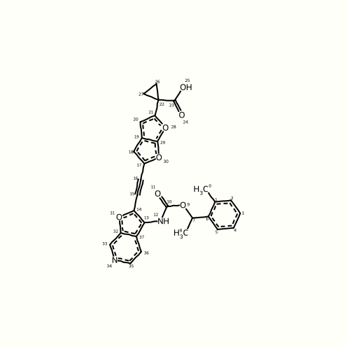 Cc1ccccc1C(C)OC(=O)Nc1c(C#Cc2cc3cc(C4(C(=O)O)CC4)oc3o2)oc2cnccc12